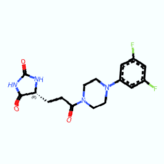 O=C1NC(=O)[C@@H](CCC(=O)N2CCN(c3cc(F)cc(F)c3)CC2)N1